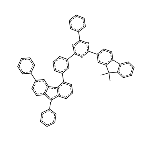 CC1(C)c2ccccc2-c2ccc(-c3nc(-c4ccccc4)nc(-c4cccc(-c5cccc6c5c5cc(-c7ccccc7)ccc5n6-c5ccccc5)c4)n3)cc21